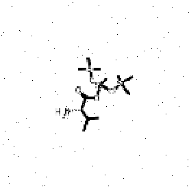 CC(C)[C@H](N)C(=O)O[Si](C)(O[Si](C)(C)C)O[Si](C)(C)C